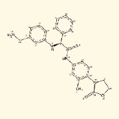 Cc1cc(NC(=O)[C@@H](Nc2cccc(CN)c2)c2ccccc2)ccc1N1CCOC1=O